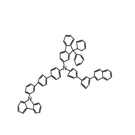 C1=CCC(C2(c3ccccc3)c3ccccc3-c3ccc(N(c4ccc(-c5ccc(-c6cccc(-n7c8ccccc8c8ccccc87)c6)cc5)cc4)c4ccc(-c5cccc(-c6ccc7ccccc7c6)c5)cc4)cc32)C=C1